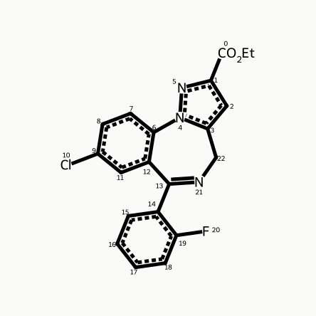 CCOC(=O)c1cc2n(n1)-c1ccc(Cl)cc1C(c1ccccc1F)=NC2